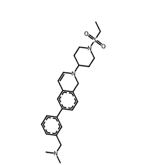 CCS(=O)(=O)N1CCC(N2C=Cc3cc(-c4cccc(CN(C)C)c4)ccc3C2)CC1